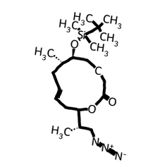 C[C@@H](CN=[N+]=[N-])C1C/C=C/C[C@H](C)[C@@H](O[Si](C)(C)C(C)(C)C)CCCC(=O)O1